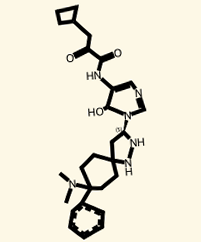 CN(C)C1(c2ccccc2)CCC2(CC1)C[C@@H](N1C=NC=C(NC(=O)C(=O)CC3CCC3)C1O)NN2